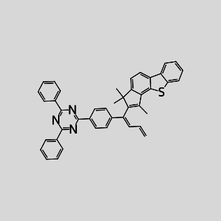 C=C/C=C(\C1=C(C)c2c(ccc3c2sc2ccccc23)C1(C)C)c1ccc(-c2nc(-c3ccccc3)nc(-c3ccccc3)n2)cc1